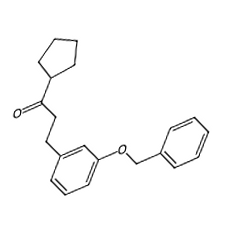 O=C(CCc1cccc(OCc2ccccc2)c1)C1CCCC1